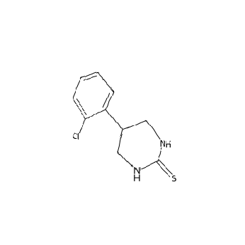 S=C1NCC(c2ccccc2Cl)CN1